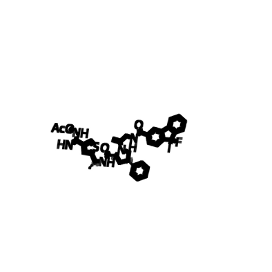 C=C(CNC(=O)c1ccc2c(c1)-c1ccccc1C2(F)I)N1C[C@H](c2ccccc2)C[C@H]1C(=O)N[C@H](C)c1cc(C(=N)NOC(C)=O)cs1